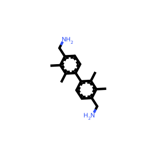 Cc1c(CN)ccc(-c2ccc(CN)c(C)c2C)c1C